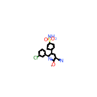 COc1nc(-c2cccc(Cl)c2)c(-c2ccc(S(N)(=O)=O)cc2)cc1C#N